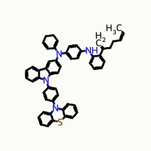 C=C(CC/C=C\C)c1ccccc1Nc1ccc(N(C2=CCCC=C2)c2ccc3c(c2)c2ccccc2n3-c2ccc(N3c4ccccc4Sc4ccccc43)cc2)cc1